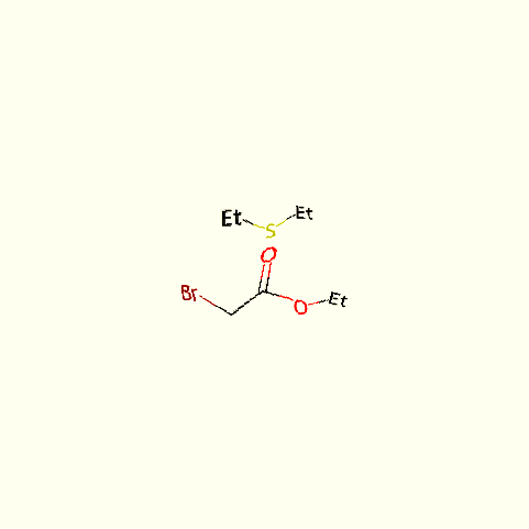 CCOC(=O)CBr.CCSCC